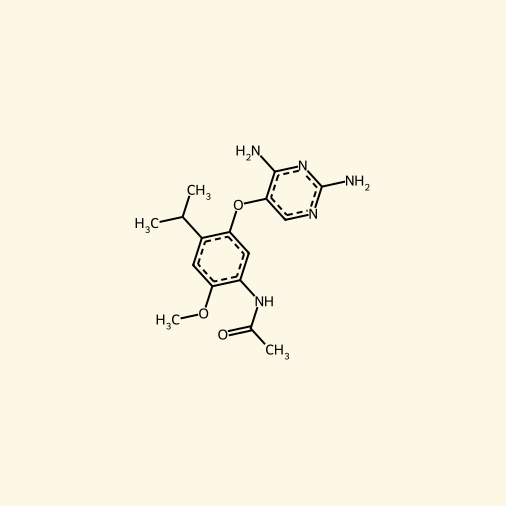 COc1cc(C(C)C)c(Oc2cnc(N)nc2N)cc1NC(C)=O